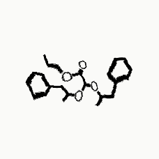 CCCOC(=O)C(OC(C)Cc1ccccc1)OC(C)Cc1ccccc1